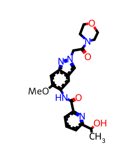 COc1cc2nn(CC(=O)N3CCOCC3)cc2cc1NC(=O)c1cccc(C(C)O)n1